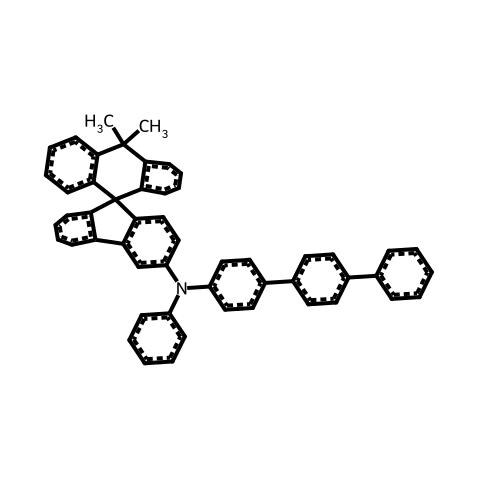 CC1(C)c2ccccc2C2(c3ccccc3-c3cc(N(c4ccccc4)c4ccc(-c5ccc(-c6ccccc6)cc5)cc4)ccc32)c2ccccc21